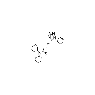 S=C(CCCCc1nnnn1-c1ccccc1)N(C1CCCCC1)C1CCCCC1